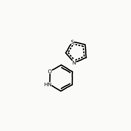 C1=CNOC=C1.c1cscn1